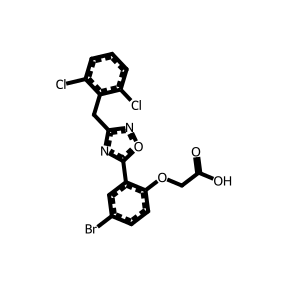 O=C(O)COc1ccc(Br)cc1-c1nc(Cc2c(Cl)cccc2Cl)no1